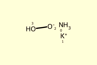 N.[K+].[O-]O